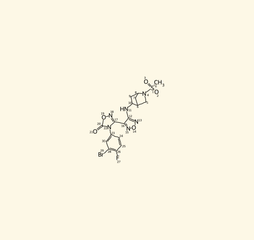 CS(=O)(=O)N1CC2CC1CC2Nc1nonc1-c1noc(=O)n1-c1ccc(F)c(Br)c1